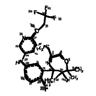 CC1(C)OCC(N)=NC(C)(c2cc(Nc3ccc(OCC(F)(F)F)nc3)ccc2F)C1(F)F